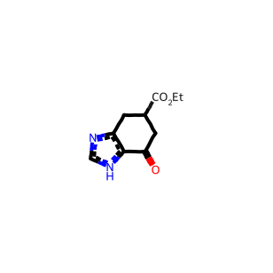 CCOC(=O)C1CC(=O)c2[nH]cnc2C1